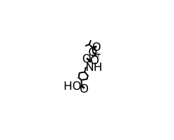 CC(C)C(=O)O[C@@H](C)OC(=O)NCC1CCC(C(=O)O)CC1